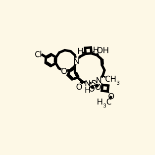 CO[C@H]1C[C@@H](N2[C@H](C)C/C=C/C(O)[C@@H]3CC[C@H]3CN3CCCCc4cc(Cl)ccc4COc4ccc(cc43)C(=O)NS2(=O)=O)C1